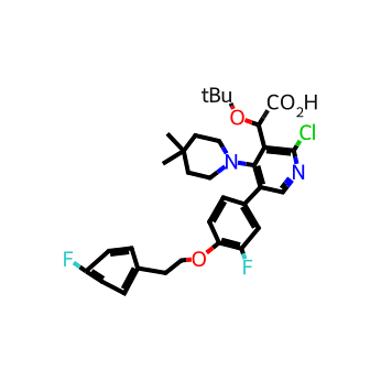 CC1(C)CCN(c2c(-c3ccc(OCCc4ccc(F)cc4)c(F)c3)cnc(Cl)c2C(OC(C)(C)C)C(=O)O)CC1